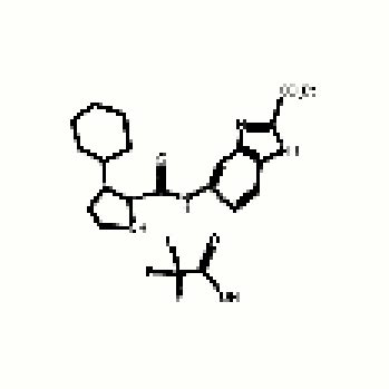 CCOC(=O)c1nc2cc(NC(=O)[C@H]3NCC[C@H]3C3CCCCC3)ccc2[nH]1.O=C(O)C(F)(F)F